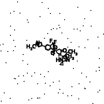 CC(C)O[C@@H]1CC(S(=O)(=O)c2ccc(-c3cnn(C)c3)cc2C(F)(F)F)C[C@H]1C(=O)NC1(C#N)CC1